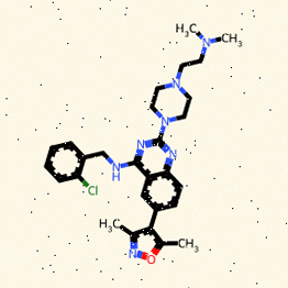 Cc1noc(C)c1-c1ccc2nc(N3CCN(CCN(C)C)CC3)nc(NCc3ccccc3Cl)c2c1